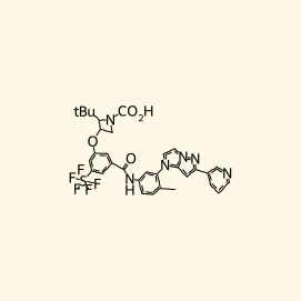 Cc1ccc(NC(=O)c2cc(OC3CN(C(=O)O)C3C(C)(C)C)cc(S(F)(F)(F)(F)F)c2)cc1-n1ccn2nc(-c3cccnc3)cc12